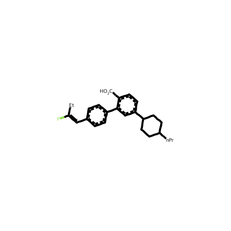 CCCC1CCC(c2ccc(C(=O)O)c(-c3ccc(/C=C(/F)CC)cc3)c2)CC1